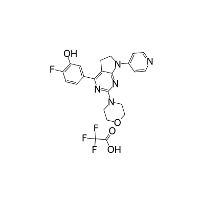 O=C(O)C(F)(F)F.Oc1cc(-c2nc(N3CCOCC3)nc3c2CCN3c2ccncc2)ccc1F